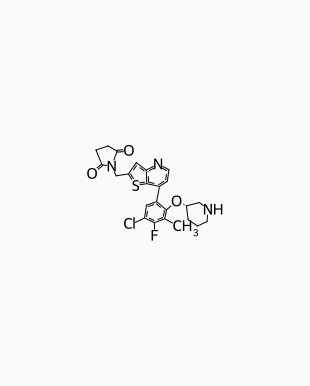 Cc1c(F)c(Cl)cc(-c2ccnc3cc(CN4C(=O)CCC4=O)sc23)c1O[C@H]1CCCNC1